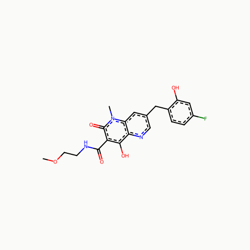 COCCNC(=O)c1c(O)c2ncc(Cc3ccc(F)cc3O)cc2n(C)c1=O